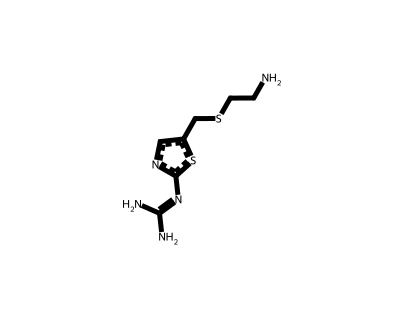 NCCSCc1cnc(N=C(N)N)s1